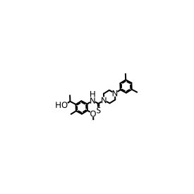 COc1cc(C)c(C(C)O)cc1NC(=S)N1CCN(c2cc(C)cc(C)c2)CC1